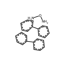 NON.c1ccc(-c2ccccc2)cc1.c1ccc(-c2ccccc2)cc1